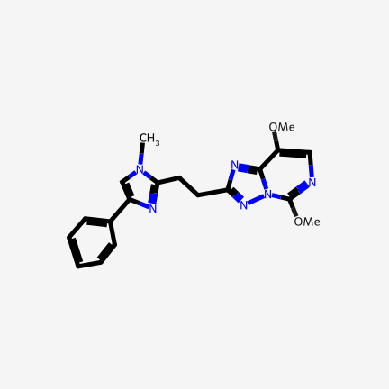 COc1cnc(OC)n2nc(CCc3nc(-c4ccccc4)cn3C)nc12